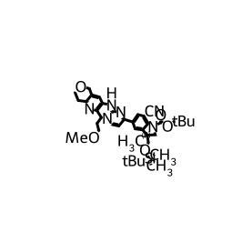 COCCCc1nc2c(cc1Nc1nccc(-c3cc(C#N)c4c(c3)[C@@](C)(CO[Si](C)(C)C(C)(C)C)CN4C(=O)OC(C)(C)C)n1)COCC2